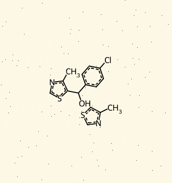 Cc1cscn1.Cc1ncsc1C(O)c1ccc(Cl)cc1